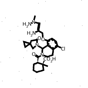 CN(N)/C=C(\N)COc1ccc(Cl)c2c1C(N1CC3(CC3)CC1=O)N(C(=O)[C@@H]1CCCC[C@]1(C)C(=O)O)CC2